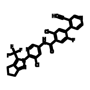 C#Cc1cnccc1-c1cc(Cl)c(C(=O)Nc2cnc(-n3nc4c(c3C(F)(F)F)CCC4)c(Cl)c2)cc1F